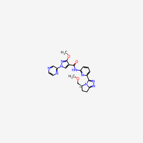 COC[C@@H]1CCc2nnc(-c3cccc(NC(=O)c4cn(-c5cnccn5)nc4OC)n3)n21